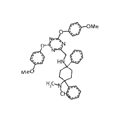 COc1ccc(Oc2nc(CNC3(c4ccccc4)CCC(c4ccccc4)(N(C)C)CC3)nc(Oc3ccc(OC)cc3)n2)cc1